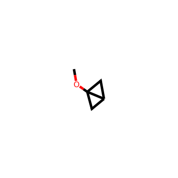 COC12CC1C2